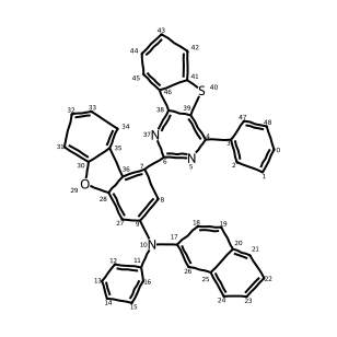 c1ccc(-c2nc(-c3cc(N(c4ccccc4)c4ccc5ccccc5c4)cc4oc5ccccc5c34)nc3c2sc2ccccc23)cc1